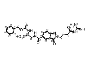 N=C(N)NC(=O)CCCn1nc2ccc(C(=O)NCC(NC(=O)OCc3ccccc3)C(=O)O)cn2c1=O